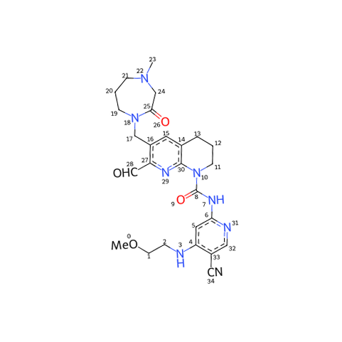 COCCNc1cc(NC(=O)N2CCCc3cc(CN4CCCN(C)CC4=O)c(C=O)nc32)ncc1C#N